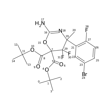 CC(C)(C)OC(=O)C1(C(=O)OC(C)(C)C)OC(N)=NC(C)(c2cc(Br)ccc2F)C1(F)F